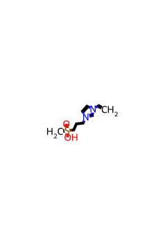 C=Cn1cc[n+](CCCS(=C)(=O)O)c1